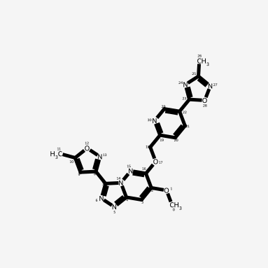 COc1cc2nnc(-c3cc(C)on3)n2nc1OCc1ccc(-c2nc(C)no2)cn1